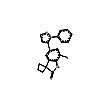 O=C1Nc2c(Br)cc(-c3ccnn3-c3ccccc3)cc2C12CCC2